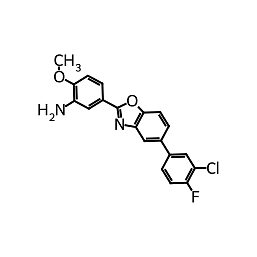 COc1ccc(-c2nc3cc(-c4ccc(F)c(Cl)c4)ccc3o2)cc1N